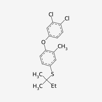 CCC(C)(C)Sc1ccc(Oc2ccc(Cl)c(Cl)c2)c(C)c1